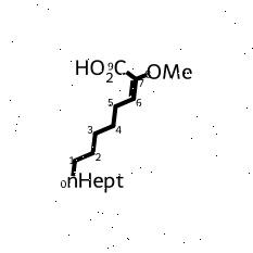 CCCCCCCCCCCCC=C(OC)C(=O)O